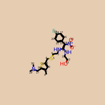 Cc1cc(CSCCNC(NCCO)=C(c2ccc(F)cc2)[N+](=O)[O-])sc1CN(C)C